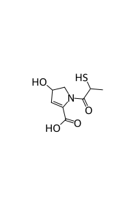 CC(S)C(=O)N1CC(O)C=C1C(=O)O